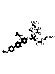 C=C(C)C(=O)Oc1cc(OCC(COC(=O)C(=O)OCCOC)(COC(=O)C(=O)OCCOC)COC2CO2)ccc1-c1ccc(C2CCC(CCCCCC)CC2)cc1F